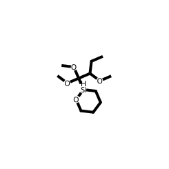 CCC(OC)C(OC)(OC)[SiH]1CCCCO1